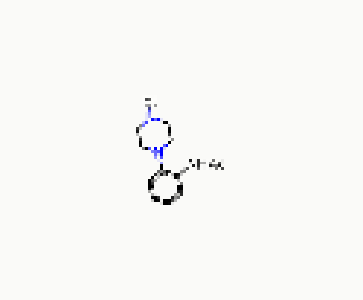 CCN1CCN(c2ccccc2NC(C)=O)CC1